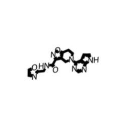 O=C(NCc1ncco1)c1noc2c1CN(c1ncnc3[nH]ccc13)CC2